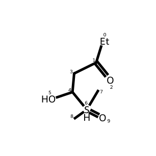 CCC(=O)CC(O)[SH](C)(C)=O